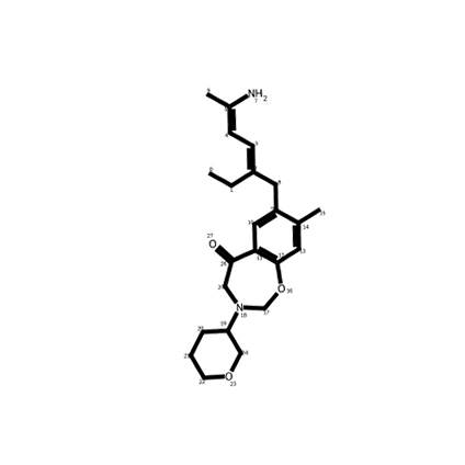 CC/C(=C\C=C(\C)N)Cc1cc2c(cc1C)OCN(C1CCCOC1)CC2=O